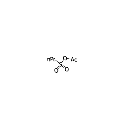 [CH2]CCS(=O)(=O)OC(C)=O